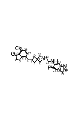 O=C1CCc2c(CC3CC4(C3)CN(CCNc3cc5nncn5cc3F)C4)ccc(Cl)c21